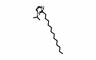 CCCCCCCCCCCCCc1nccn1C(C)C